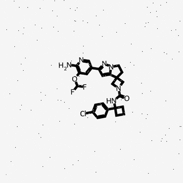 Nc1ncc(-c2cc3n(n2)CCC32CN(C(=O)NC3(c4ccc(Cl)cc4)CCC3)C2)cc1OC(F)F